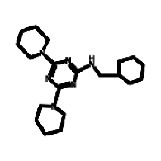 C1CCC(CNc2nc(N3CCCCC3)nc(N3CCCCC3)n2)CC1